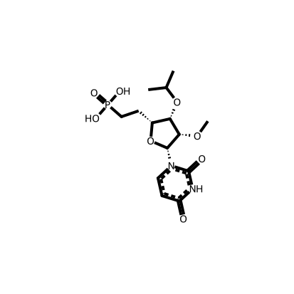 CO[C@H]1[C@@H](OC(C)C)[C@@H](CCP(=O)(O)O)O[C@H]1n1ccc(=O)[nH]c1=O